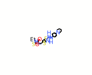 CCN1C(=O)/C(=C\c2cc3sc(NNc4ccc(N5CCCCC5)cc4)nc3s2)OC1=S